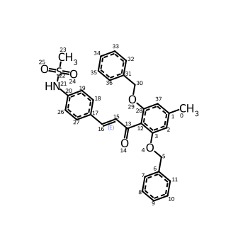 Cc1cc(OCc2ccccc2)c(C(=O)/C=C/c2ccc(NS(C)(=O)=O)cc2)c(OCc2ccccc2)c1